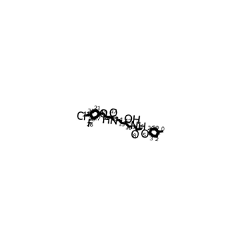 Cc1ccc(OCC(=O)NC[C@@H](O)CCNC(=O)COc2ccc(Cl)c(F)c2)cc1